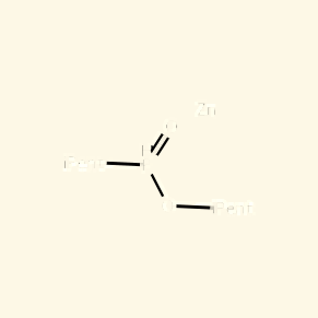 CCCC(C)O[PH](=O)C(C)CCC.[Zn]